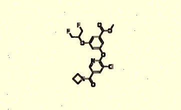 COC(=O)c1cc(Oc2ncc(C(=O)N3CCC3)cc2Cl)cc(OC(CF)CF)c1